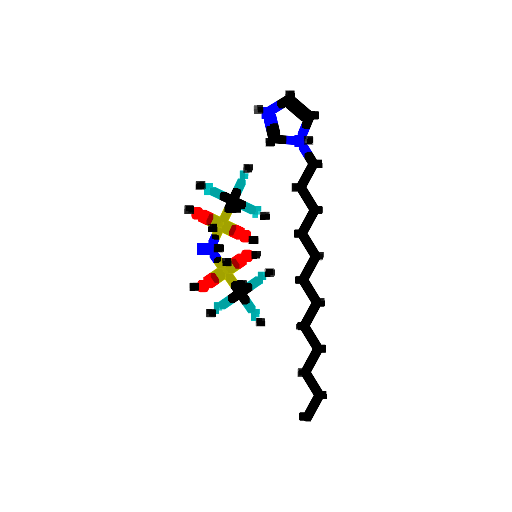 CCCCCCCCCCCCn1ccnc1.O=S(=O)(NS(=O)(=O)C(F)(F)F)C(F)(F)F